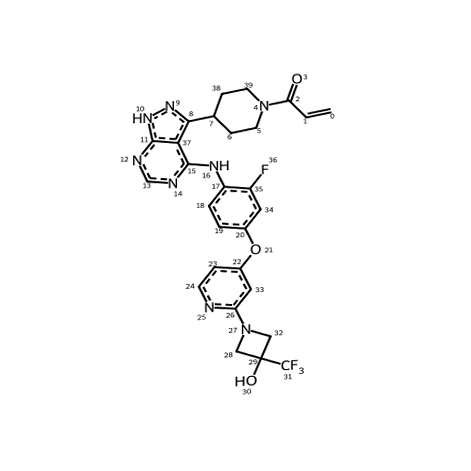 C=CC(=O)N1CCC(c2n[nH]c3ncnc(Nc4ccc(Oc5ccnc(N6CC(O)(C(F)(F)F)C6)c5)cc4F)c23)CC1